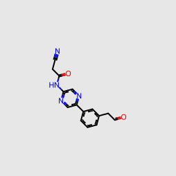 N#CCC(=O)Nc1cnc(-c2cccc(CC=O)c2)cn1